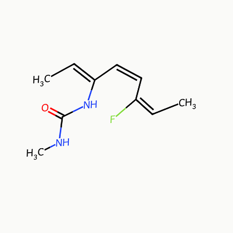 CC=C(/C=C\C(F)=C/C)NC(=O)NC